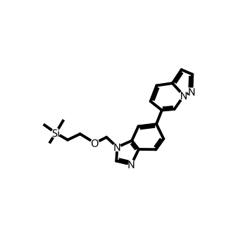 C[Si](C)(C)CCOCn1cnc2ccc(-c3ccc4ccnn4c3)cc21